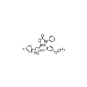 COc1ccc([C@@H]2[C@@H](CCC(O)c3ccc(F)cc3)OC(=O)N2c2ccccc2)c(O)c1